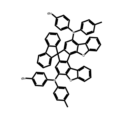 Cc1ccc(N(c2ccc(C(C)(C)C)cc2)c2cc3c(c4c2oc2ccccc24)-c2c(cc(N(c4ccc(C)cc4)c4ccc(C(C)(C)C)cc4)c4c2oc2ccccc24)C32c3ccccc3-c3ccccc32)cc1